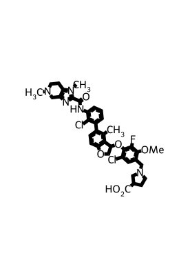 COc1c(CN2CCC(C(=O)O)C2)cc(Cl)c(OC2COc3ccc(-c4cccc(NC(=O)c5nc6c(n5C)CCN(C)C6)c4Cl)c(C)c32)c1F